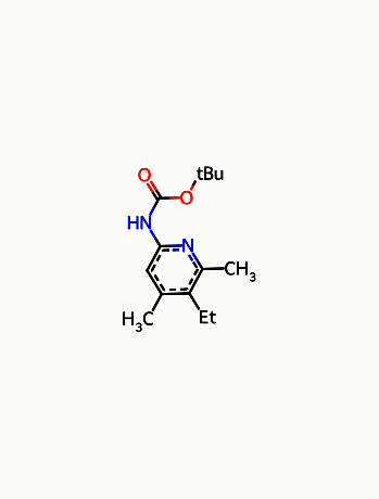 CCc1c(C)cc(NC(=O)OC(C)(C)C)nc1C